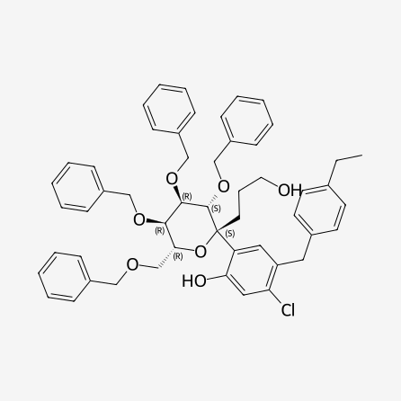 CCc1ccc(Cc2cc([C@]3(CCCO)O[C@H](COCc4ccccc4)[C@@H](OCc4ccccc4)[C@@H](OCc4ccccc4)[C@@H]3OCc3ccccc3)c(O)cc2Cl)cc1